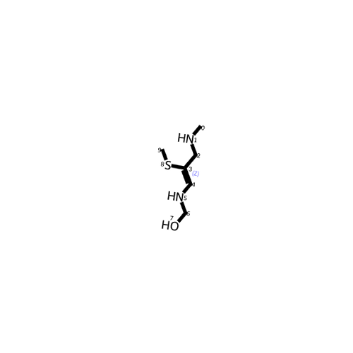 CNC/C(=C/NCO)SC